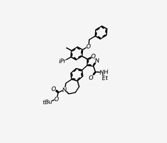 CCNC(=O)c1noc(-c2cc(C(C)C)c(C)cc2OCc2ccccc2)c1-c1ccc2c(c1)CCCN(C(=O)OC(C)(C)C)C2